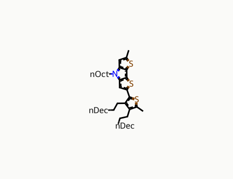 CCCCCCCCCCCCc1c(C)sc(-c2cc3c(s2)c2sc(C)cc2n3CCCCCCCC)c1CCCCCCCCCCCC